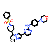 N#CCC(C1CCN(S(=O)(=O)c2ccccc2)CC1)n1cc(-c2ccnc(Nc3ccc(N4CCOCC4)cc3)n2)cn1